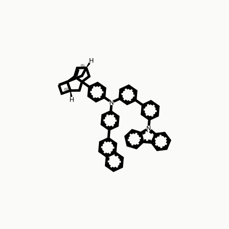 C1=C2C3C4C[C@H]1CC2(c1ccc(N(c2ccc(-c5ccc6ccccc6c5)cc2)c2cccc(-c5cccc(-n6c7ccccc7c7ccccc76)c5)c2)cc1)C[C@@H]3C4